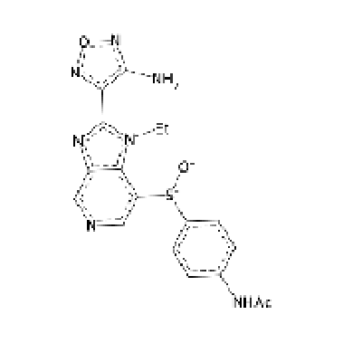 CCn1c(-c2nonc2N)nc2cncc([S+]([O-])c3ccc(NC(C)=O)cc3)c21